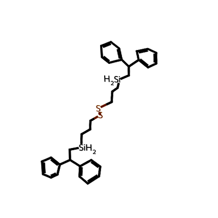 c1ccc(C(C[SiH2]CCCSSCCC[SiH2]CC(c2ccccc2)c2ccccc2)c2ccccc2)cc1